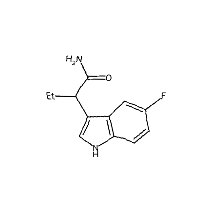 CCC(C(N)=O)c1c[nH]c2ccc(F)cc12